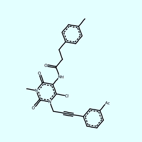 CC(=O)c1cccc(C#CCn2c(Cl)c(NC(=O)CCc3ccc(C)cc3)c(=O)n(C)c2=O)c1